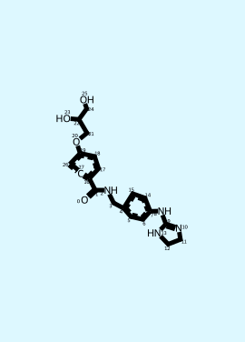 O=C(NCc1ccc(NC2=NCCN2)cc1)c1ccc(OCC(O)CO)cc1